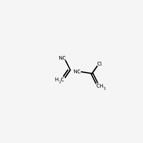 C=C(Cl)C#N.C=CC#N